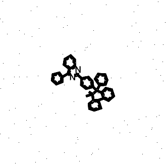 CC1(C)c2ccccc2-c2ccccc2C1(c1ccccc1)c1ccc(-c2nc(-c3ccccc3)c3ccccc3n2)cc1